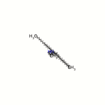 CCCCCCCCCCCCCCCCCCNCCCCCCCCCCCCCCCCCC.Cc1ccccc1C